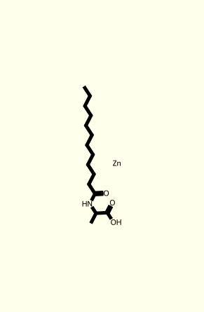 CCCCCCCCCCCC(=O)NC(C)C(=O)O.[Zn]